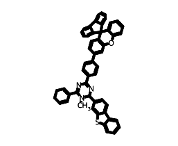 CN1C(C2=CCCC=C2)=NC(c2ccc(-c3ccc4c(c3)Oc3ccccc3C43c4ccccc4-c4ccccc43)cc2)=NC1c1ccc2c(c1)sc1ccccc12